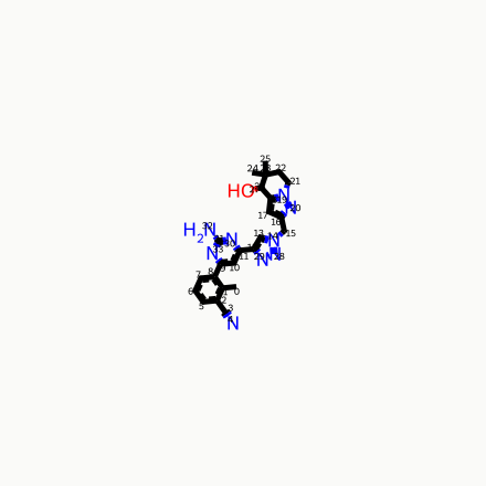 Cc1c(C#N)cccc1-c1cc(-c2cn(Cc3cc4n(n3)CCC(C)(C)C4O)nn2)nc(N)n1